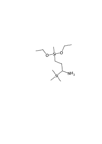 CCO[Si](C)(CCC(N)[Si](C)(C)C)OCC